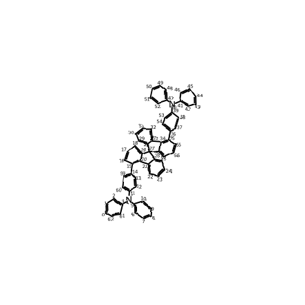 c1ccc(N(c2ccccc2)c2ccc(-c3cccc4c3-c3ccccc3C43c4ccccc4-c4c(-c5ccc(N(c6ccccc6)c6ccccc6)cc5)cccc43)cc2)cc1